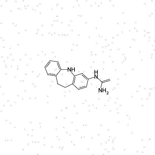 C=C(N)Nc1ccc2c(c1)Nc1ccccc1CC2